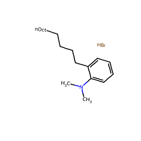 Br.CCCCCCCCCCCCc1ccccc1N(C)C